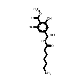 COC(=O)c1c(O)cc(CNC(=O)CCCCCN)cc1O.Cl